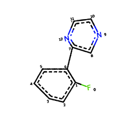 Fc1ccccc1-c1cnc[c]n1